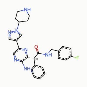 Nc1ncc(-c2cnn(C3CCNCC3)c2)nc1[C@H](C(=O)NCc1ccc(F)cc1)c1ccccc1